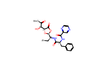 COC(=O)[C@H](O)[C@H]1OB([C@H](CC(C)C)NC(=O)[C@H](Cc2ccccc2)NC(=O)c2cnccn2)OC1=O